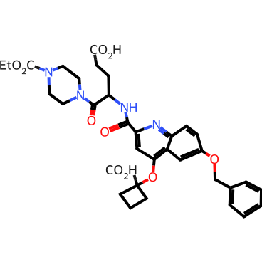 CCOC(=O)N1CCN(C(=O)C(CCC(=O)O)NC(=O)c2cc(OC3(C(=O)O)CCC3)c3cc(OCc4ccccc4)ccc3n2)CC1